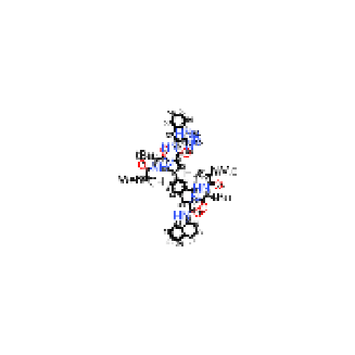 CN[C@@H](C)C(=O)NC(C(=O)N1CC(c2ccc3c(c2)CN(C(=O)C(NC(=O)[C@H](C)NC)C(C)(C)C)C(C(=O)NC2CCCc4ccccc42)C3)CC1C(=O)NC(Cc1ccccc1)c1nnn[nH]1)C(C)(C)C